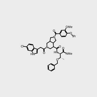 CNC(=O)[C@H](NC(=O)C1CN(C(=O)Cc2c[nH]c3cc(Cl)ccc23)CC2CN(C(=O)c3ccc(OC(C)C)c(OC)c3)CC21)[C@H](C)OCc1ccccc1